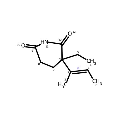 C/C=C(\C)C1(CC)CCC(=O)NC1=O